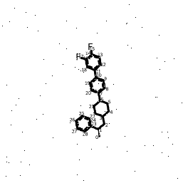 C[C@H](CC1CCC(c2ccc(-c3ccc(F)c(F)c3)cc2)CC1)c1ccccc1